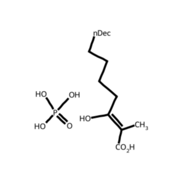 CCCCCCCCCCCCCC/C(O)=C(\C)C(=O)O.O=P(O)(O)O